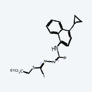 CCOC(=O)CS/C(I)=N/N=C(/Br)Nc1ccc(C2CC2)c2ccccc12